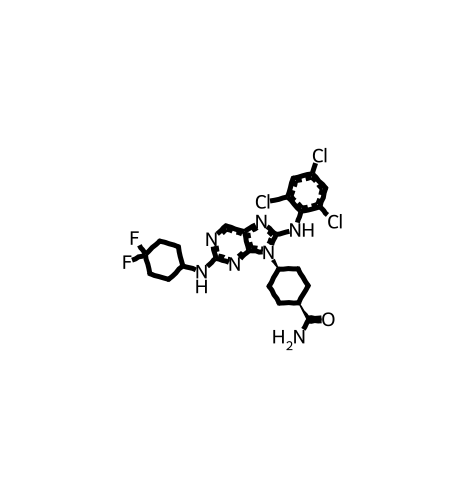 NC(=O)[C@H]1CC[C@@H](n2c(Nc3c(Cl)cc(Cl)cc3Cl)nc3cnc(NC4CCC(F)(F)CC4)nc32)CC1